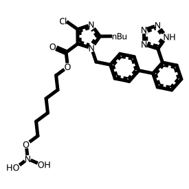 CCCCc1nc(Cl)c(C(=O)OCCCCCCON(O)O)n1Cc1ccc(-c2ccccc2-c2nnn[nH]2)cc1